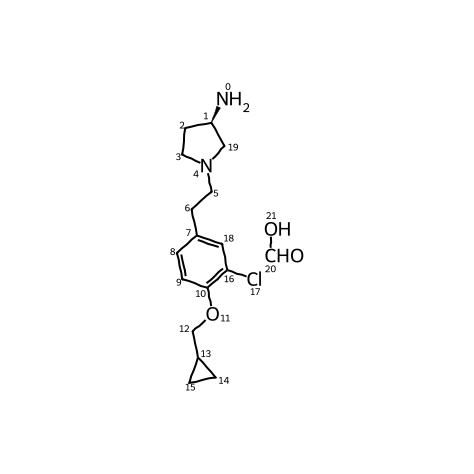 N[C@@H]1CCN(CCc2ccc(OCC3CC3)c(Cl)c2)C1.O=CO